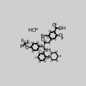 COc1cc(CC(=O)N(Nc2ccccc2N2CCCCC2)c2ccc(OC(F)(F)F)cc2)c(Br)cc1C(=O)O.Cl